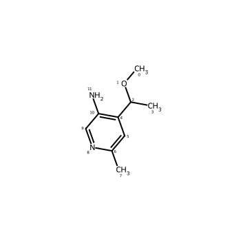 COC(C)c1cc(C)ncc1N